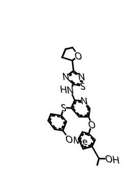 COc1cccc(Sc2cc(Oc3cccc(C(C)O)c3)cnc2Nc2nc(C3CCCO3)ns2)c1